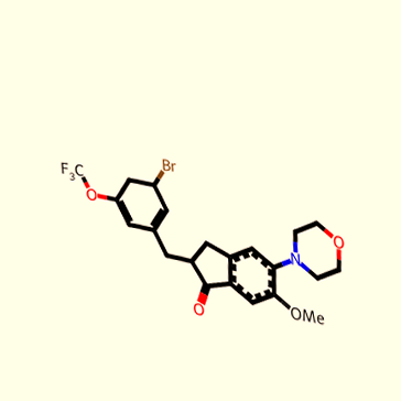 COc1cc2c(cc1N1CCOCC1)CC(CC1=CC(Br)CC(OC(F)(F)F)=C1)C2=O